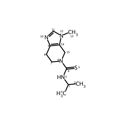 CC(C)NC(=S)N1CCc2ncn(C)c2C1